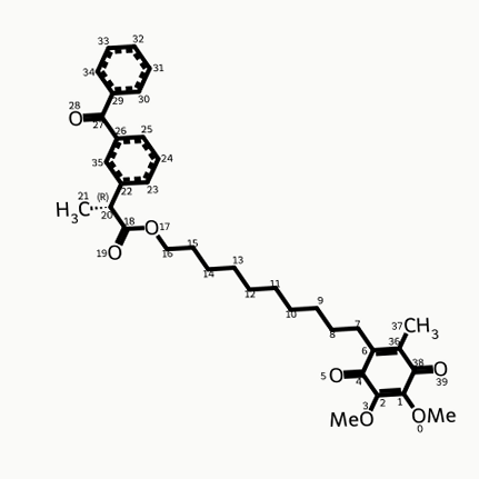 COC1=C(OC)C(=O)C(CCCCCCCCCCOC(=O)[C@H](C)c2cccc(C(=O)c3ccccc3)c2)=C(C)C1=O